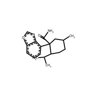 CC1CCC(C(C)C)C(C(N)=O)(c2cccc3ocnc23)C1